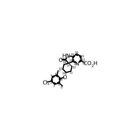 Cc1cc(Cl)cc(C)c1O[C@H]1CC[C@@]2(CC1)C(=O)Nc1ccc(C(=O)O)nc12